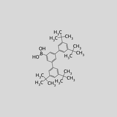 CC(C)(C)c1cc(-c2cc(B(O)O)cc(-c3cc(C(C)(C)C)cc(C(C)(C)C)c3)c2)cc(C(C)(C)C)c1